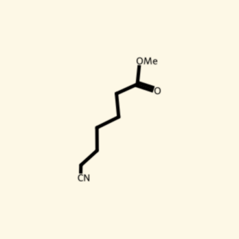 COC(=O)CCCCCC#N